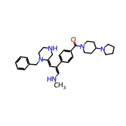 CN/C=C(\C=C1/CNCCN1Cc1ccccc1)c1ccc(C(=O)N2CCC(N3CCCC3)CC2)cc1